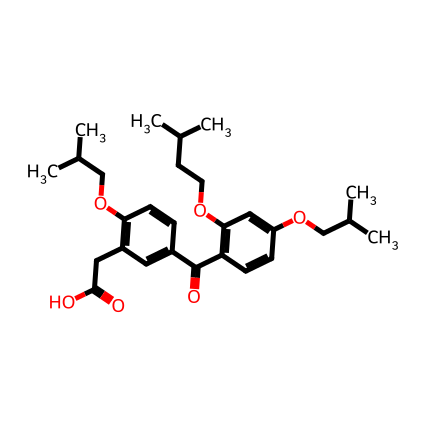 CC(C)CCOc1cc(OCC(C)C)ccc1C(=O)c1ccc(OCC(C)C)c(CC(=O)O)c1